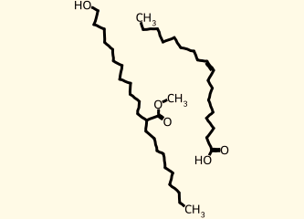 CCCCCCCC/C=C\CCCCCCCC(=O)O.CCCCCCCCCCC(CCCCCCCCCCCCO)C(=O)OC